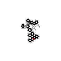 CC1(C)c2ccccc2-c2cc3c4ccccc4n(-c4nc(-c5ccccc5)nc(-c5ccc(-c6ccc(-c7cccc8ccccc78)c7c(-c8cccc9ccccc89)cccc67)cc5)n4)c3cc21